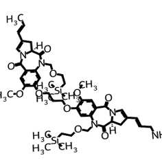 CC=CC1=CN2C(=O)c3cc(OC)c(OCCCOc4cc5c(cc4OC)C(=O)N4C=C(C=CCN)C[C@H]4C(=O)N5COCC[Si](C)(C)C)cc3N(COCC[Si](C)(C)C)C(=O)[C@@H]2C1